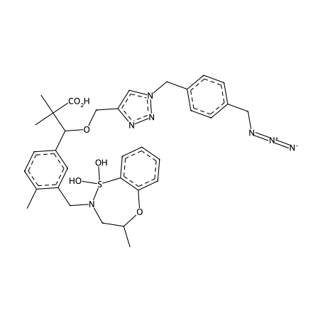 Cc1ccc(C(OCc2cn(Cc3ccc(CN=[N+]=[N-])cc3)nn2)C(C)(C)C(=O)O)cc1CN1CC(C)Oc2ccccc2S1(O)O